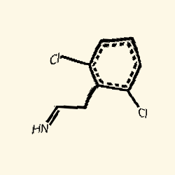 N=[C]Cc1c(Cl)cccc1Cl